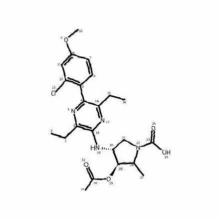 CCc1nc(-c2ccc(OC)cc2Cl)c(CC)nc1N[C@@H]1CN(C(=O)O)C(C)[C@H]1OC(C)=O